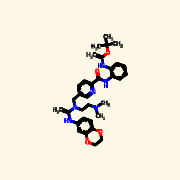 C=C(Nc1ccccc1NC(=O)c1ccc(CN(CCN(C)C)C(=C)Nc2ccc3c(c2)OCCO3)cn1)OC(C)(C)C